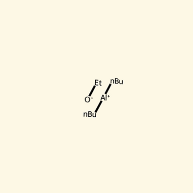 CCC[CH2][Al+][CH2]CCC.CC[O-]